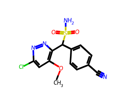 COc1cc(Cl)nnc1C(c1ccc(C#N)cc1)S(N)(=O)=O